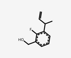 C=C[C](C)c1cccc(CO)c1F